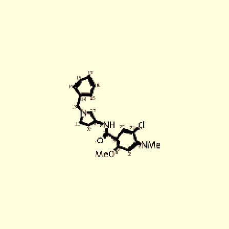 CNc1cc(OC)c(C(=O)NC2CCN(Cc3ccccc3)C2)cc1Cl